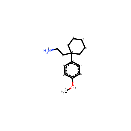 NCCC1(c2ccc(OC(F)(F)F)cc2)CCCCC1